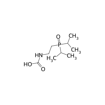 CC(C)P(=O)(CCNC(=O)O)C(C)C